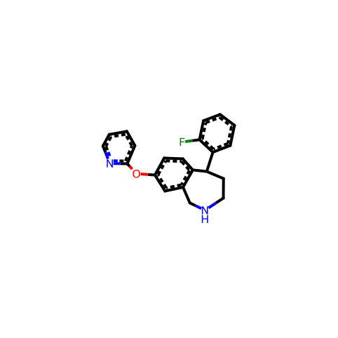 Fc1ccccc1C1CCNCc2cc(Oc3ccccn3)ccc21